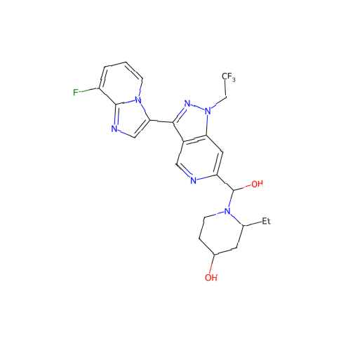 CCC1CC(O)CCN1C(O)c1cc2c(cn1)c(-c1cnc3c(F)cccn13)nn2CC(F)(F)F